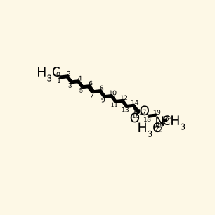 CCCCCC/C=C/CCCCCCCC(=O)OCCN(C)C